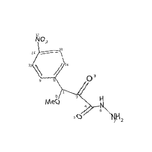 COC(C(=O)C(=O)NN)c1ccc([N+](=O)[O-])cc1